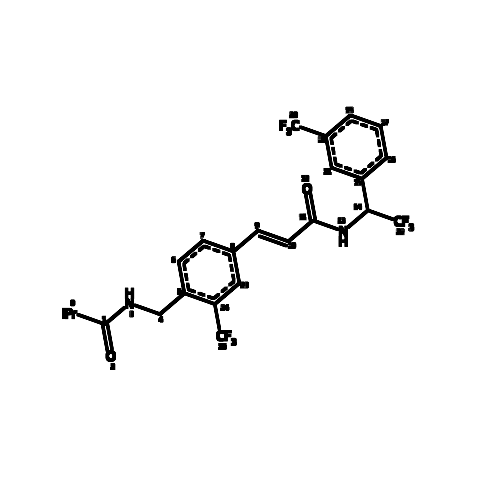 CC(C)C(=O)NCc1ccc(C=CC(=O)NC(c2cccc(C(F)(F)F)c2)C(F)(F)F)cc1C(F)(F)F